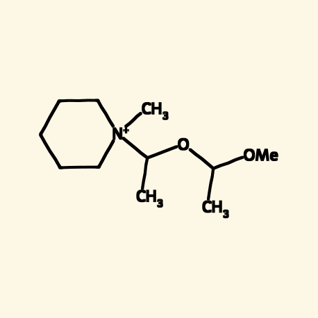 COC(C)OC(C)[N+]1(C)CCCCC1